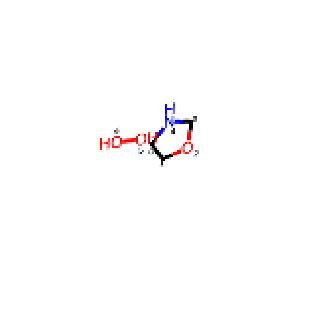 C1COCN1.OO